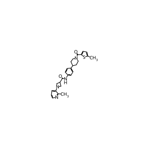 Cc1ccc(C(=O)N2CCC(c3ccc(NC(=O)C4CN(c5cccnc5C)C4)cc3)CC2)s1